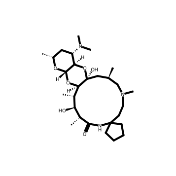 C[C@H]1CN(C)CCC2(CCCC2)NC(=O)[C@H](C)[C@@H](O)[C@H](C)[C@H]2O[C@@H]3O[C@H](C)C[C@H](N(C)C)[C@H]3O[C@@]2(O)C1